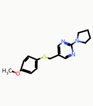 COc1ccc(SCc2cnc(N3CCCC3)nc2)cc1